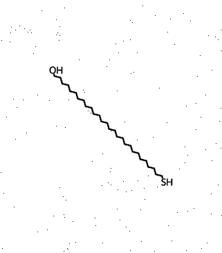 OCCCCCCCCCCCCCCCCCCCCCCCCCCCCS